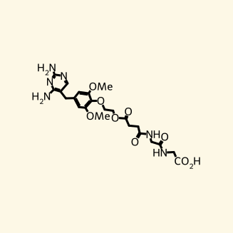 COc1cc(Cc2cnc(N)nc2N)cc(OC)c1OCCOC(=O)CCC(=O)NCC(=O)NCC(=O)O